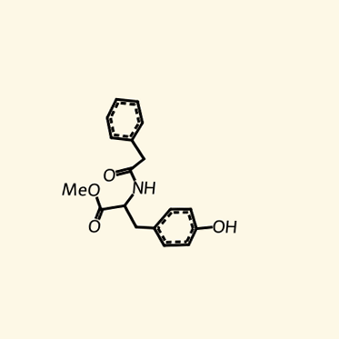 COC(=O)C(Cc1ccc(O)cc1)NC(=O)Cc1ccccc1